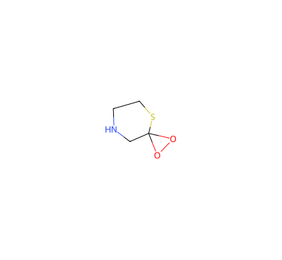 C1CSC2(CN1)OO2